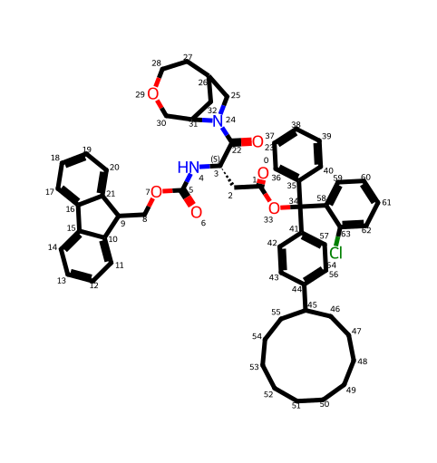 O=C(C[C@H](NC(=O)OCC1c2ccccc2-c2ccccc21)C(=O)N1CC2CCOCC1C2)OC(c1ccccc1)(c1ccc(C2CCCCCCCCCC2)cc1)c1ccccc1Cl